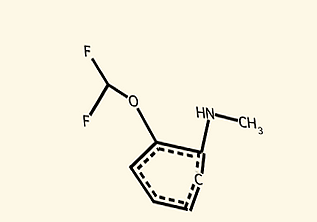 CNc1ccccc1OC(F)F